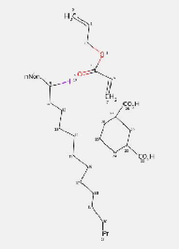 C=CCOC(=O)C=C.CCCCCCCCCC(I)CCCCCCCCCCC(C)C.O=C(O)C1CCCC(C(=O)O)C1